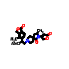 COC(CN1CCC2(CC1)CC(C)N(C1=CC(=O)OC1)C2=O)c1ccc2c(c1C)COC2=O